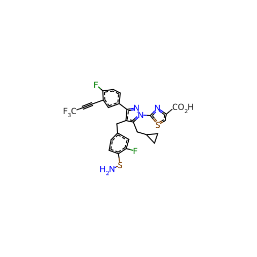 NSc1ccc(Cc2c(-c3ccc(F)c(C#CC(F)(F)F)c3)nn(-c3nc(C(=O)O)cs3)c2CC2CC2)cc1F